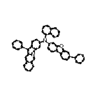 c1ccc(-c2ccc3c(c2)oc2cc(N(c4ccc5c(-c6ccccc6)c6cc7ccccc7cn6c5c4)c4cccc5ccccc45)ccc23)cc1